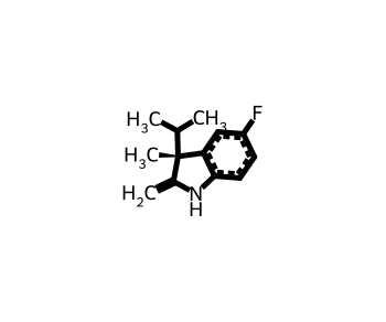 C=C1Nc2ccc(F)cc2[C@@]1(C)C(C)C